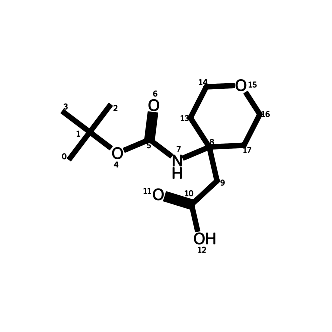 CC(C)(C)OC(=O)NC1(CC(=O)O)CCOCC1